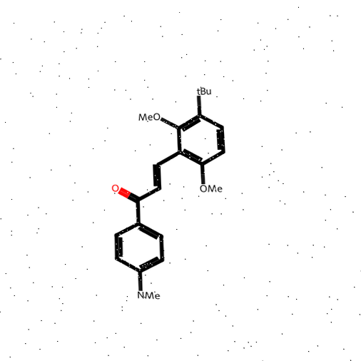 CNc1ccc(C(=O)C=Cc2c(OC)ccc(C(C)(C)C)c2OC)cc1